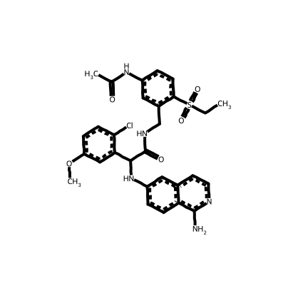 CCS(=O)(=O)c1ccc(NC(C)=O)cc1CNC(=O)C(Nc1ccc2c(N)nccc2c1)c1cc(OC)ccc1Cl